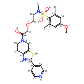 COc1cc(C)c(S(=O)(=O)N(C)CCOCC(=O)N2CCc3nc(-c4ccncc4)sc3C2)c(C)c1